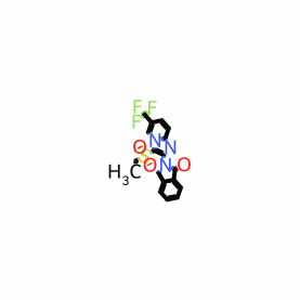 CCS(=O)(=O)c1c(N2Cc3ccccc3C2=O)nc2ccc(C(F)(F)F)cn12